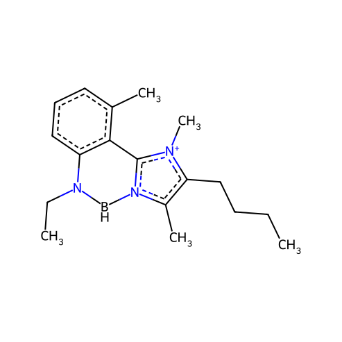 CCCCc1c(C)n2c([n+]1C)-c1c(C)cccc1N(CC)B2